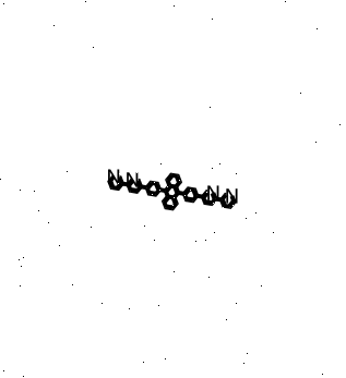 c1cncc(-c2ccc(-c3ccc(-c4c5ccccc5c(-c5ccc(-c6ccc(-c7cccnc7)nc6)cc5)c5ccccc45)cc3)cn2)c1